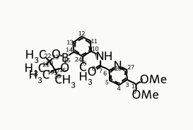 COC(OC)c1ccc(C(=O)Nc2cccc(B3OC(C)(C)C(C)(C)O3)c2C)nc1